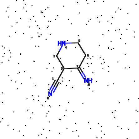 N#CC1CNCCC1=N